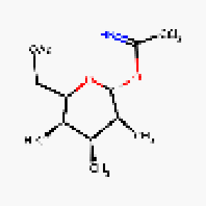 CC(=O)OCC1O[C@H](OC(=N)C(Cl)(Cl)Cl)C(C)[C@@H](C)[C@H]1C